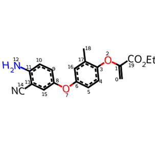 C=C(Oc1ccc(Oc2ccc(N)c(C#N)c2)cc1C)C(=O)OCC